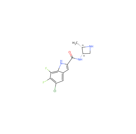 C[C@@H]1NC[C@@H]1NC(=O)c1cc2cc(Cl)c(F)c(F)c2[nH]1